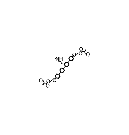 C=C(COC)C(=O)OCCOc1ccc(-c2ccc(-c3ccc(-c4ccc(OCCOC(=O)C(=C)COC)cc4)cc3CCCNC)cc2)cc1